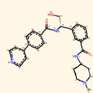 CC(C)N1CCC(NC(=O)c2cccc([C@@H](CO)NC(=O)c3ccc(-c4ccncc4)cc3)c2)CC1